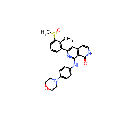 Cc1c(-c2cc3c(c(Nc4ccc(N5CCOCC5)cc4)n2)C(=O)[N]C=C3)cccc1[S+](C)[O-]